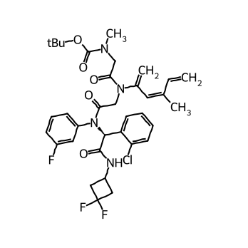 C=C/C(C)=C\C(=C)N(CC(=O)N(c1cccc(F)c1)[C@H](C(=O)NC1CC(F)(F)C1)c1ccccc1Cl)C(=O)CN(C)C(=O)OC(C)(C)C